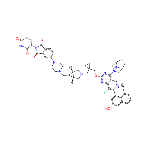 C#Cc1cccc2cc(O)cc(-c3ncc4c(N5CC6CCC(C5)N6)nc(OCC5(CN6C[C@@H]7C(CN8CCN(c9ccc%10c(c9)C(=O)N(C9CCC(=O)NC9=O)C%10=O)CC8)[C@@H]7C6)CC5)nc4c3F)c12